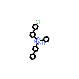 Clc1ccc(-c2cccc(C3=NC(c4ccc(-c5ccccc5)cc4)NC(c4ccccc4)=N3)c2)cc1